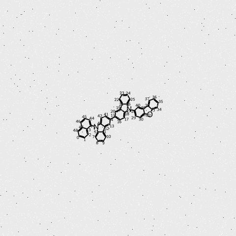 c1ccc2c(-n3c4ccccc4c4cc(-c5ccc6c(c5)c5ccccc5n6-c5ccc6oc7ccccc7c6c5)ccc43)cccc2c1